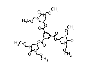 COCN1CC(OC(=O)c2cc(C(=O)OC3CN(COC)C(=O)N(COC)C3)cc(C(=O)OC3CN(COC)C(=O)N(COC)C3)c2)CN(COC)C1=O